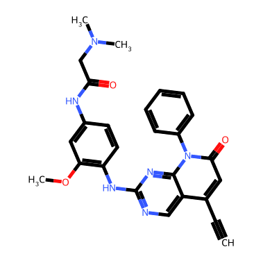 C#Cc1cc(=O)n(-c2ccccc2)c2nc(Nc3ccc(NC(=O)CN(C)C)cc3OC)ncc12